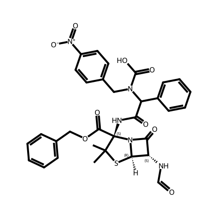 CC1(C)S[C@@H]2[C@@H](NC=O)C(=O)N2[C@@]1(NC(=O)C(c1ccccc1)N(Cc1ccc([N+](=O)[O-])cc1)C(=O)O)C(=O)OCc1ccccc1